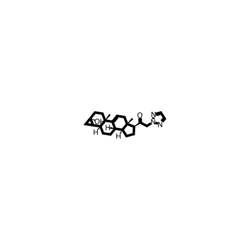 C[C@]12CC=C3[C@@H](CC[C@H]4C5C[C@@]5(O)CC[C@]34C)[C@@H]1CC[C@@H]2C(=O)Cn1nccn1